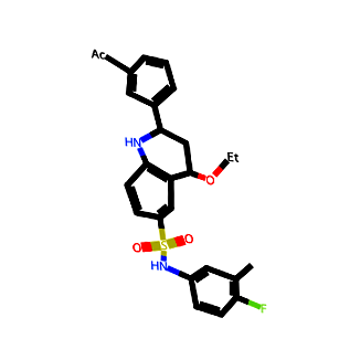 CCOC1CC(c2cccc(C(C)=O)c2)Nc2ccc(S(=O)(=O)Nc3ccc(F)c(C)c3)cc21